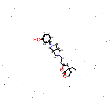 CCC1(CC)C[C@H](CCN2CC3CN(c4cccc(O)c4)CC3C2)OC1=O